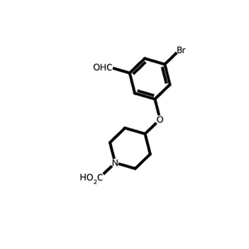 O=Cc1cc(Br)cc(OC2CCN(C(=O)O)CC2)c1